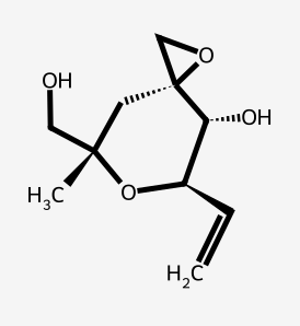 C=C[C@H]1O[C@](C)(CO)C[C@@]2(CO2)[C@@H]1O